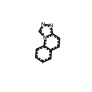 [c]1ccc2c(c1)ccc1nncn12